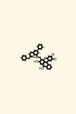 O=C(O)c1ccccc1-c1c2cc(Cl)c(=O)cc-2oc2c(CNc3cc(-c4ccccc4)cc4ccc(Cc5ccccc5)nc34)c(O)ccc12